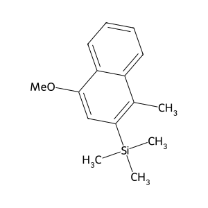 COc1cc([Si](C)(C)C)c(C)c2ccccc12